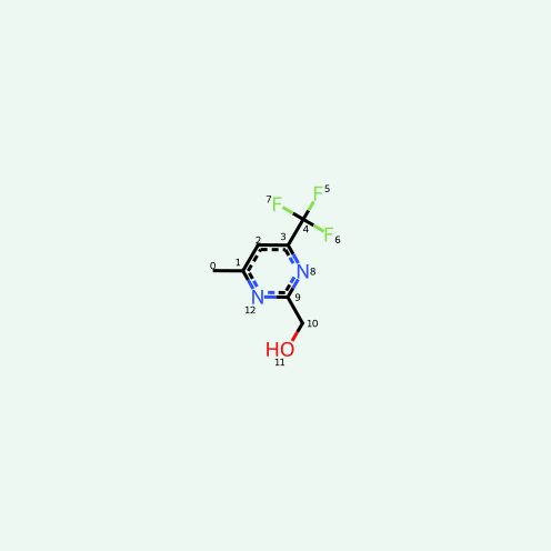 Cc1cc(C(F)(F)F)nc(CO)n1